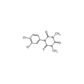 Cn1c(=O)n(C)c(=S)n(-c2ccc(Cl)c(Cl)c2)c1=O